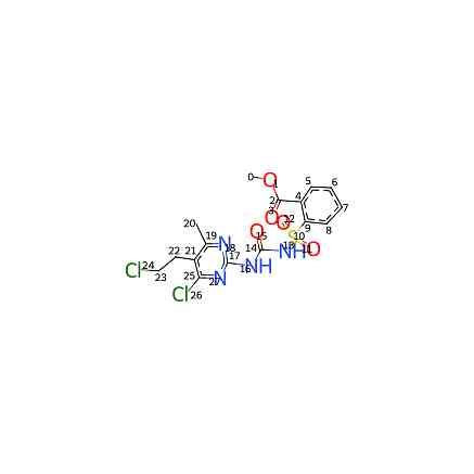 COC(=O)c1ccccc1S(=O)(=O)NC(=O)Nc1nc(C)c(CCCl)c(Cl)n1